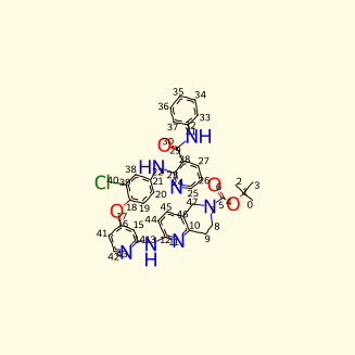 CC(C)(C)OC(=O)N1CCc2nc(Nc3cc(Oc4ccc(Nc5ncccc5C(=O)Nc5ccccc5)cc4Cl)ccn3)ccc2C1